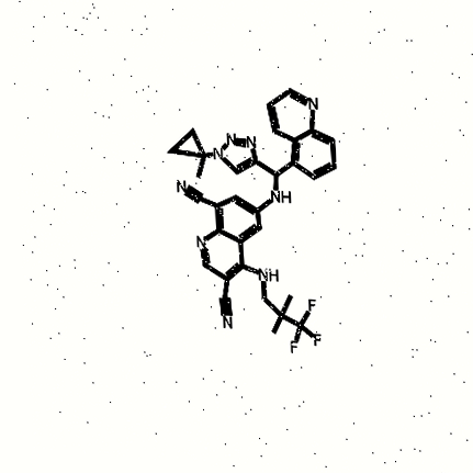 CC1(n2cc(C(Nc3cc(C#N)c4ncc(C#N)c(NCC(C)(C)C(F)(F)F)c4c3)c3cccc4ncccc34)nn2)CC1